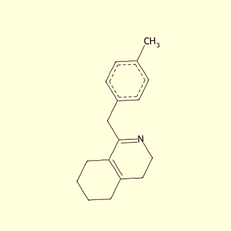 Cc1ccc(CC2=NCCC3=C2CCCC3)cc1